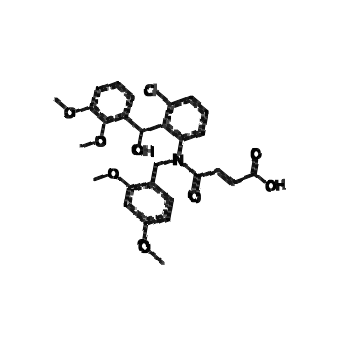 COc1ccc(CN(C(=O)/C=C/C(=O)O)c2cccc(Cl)c2C(O)c2cccc(OC)c2OC)c(OC)c1